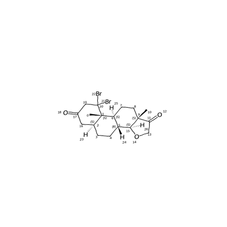 C[C@]12[C@@H](CC[C@@H]3[C@@H]1CC[C@]1(C)C(=O)CO[C@@H]31)CC(=O)CC2(Br)Br